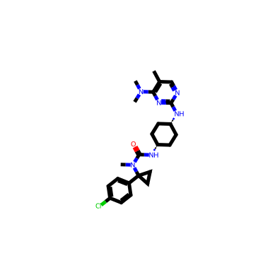 Cc1cnc(N[C@H]2CC[C@@H](NC(=O)N(C)C3(c4ccc(Cl)cc4)CC3)CC2)nc1N(C)C